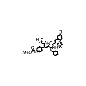 C=Cc1nnc(C(Cc2ccccc2)NC(=O)C=Cc2cc(Cl)ccc2-n2cnnn2)cc1-c1ccc(NC(=O)OC)cc1